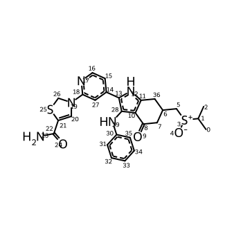 CC(C)[S+]([O-])CC1CC(=O)c2c([nH]c(-c3ccnc(N4C=C(C(N)=O)SC4)c3)c2Nc2ccccc2)C1